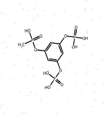 CP(=O)(O)Oc1cc(OP(=O)(O)O)cc(OP(=O)(O)O)c1